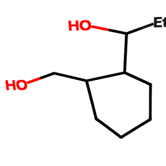 CCC(O)C1CCCCC1CO